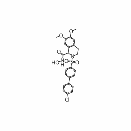 COc1cc2c(cc1OC)C(C(=O)NO)N(S(=O)(=O)c1ccc(-c3ccc(Cl)cc3)cc1)CC2